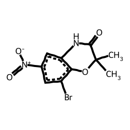 CC1(C)Oc2c(Br)cc([N+](=O)[O-])cc2NC1=O